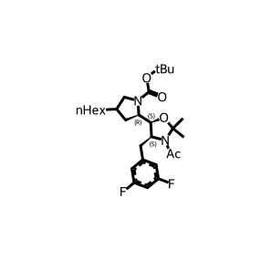 CCCCCCC1C[C@H]([C@H]2OC(C)(C)N(C(C)=O)[C@H]2Cc2cc(F)cc(F)c2)N(C(=O)OC(C)(C)C)C1